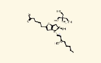 CCCCC[C@H](O)/C=C/[C@@H]1c2cc(CCCCC(=O)O)oc2C[C@H]1O.NC(CO)(CO)CO